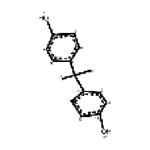 [CH2]C(C)(c1ccc(O)cc1)c1ccc(O)cc1